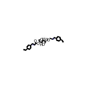 C=Cc1ccc(/C=C/COO[C@H]2CO[C@H]3C(OC(=O)/C=C/c4ccc(C=C)cc4)CO[C@@H]23)cc1